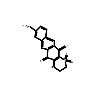 O=C(O)c1ccc2cc3c(cc2c1)C(=O)C1=C(C3=O)S(=O)(=O)CCN1